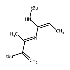 C=C(/C(C)=N/C(=C\C)NC(C)(C)C)C(C)(C)C